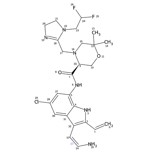 C=Cc1[nH]c2c(NC(=O)[C@@H]3COC(C)(C)CN3CC3=NCCN3CC(F)F)cc(Cl)cc2c1/C=C\N